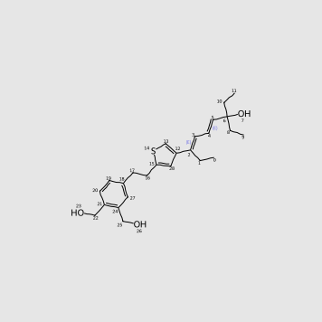 CC/C(=C\C=C\C(O)(CC)CC)c1csc(CCc2ccc(CO)c(CO)c2)c1